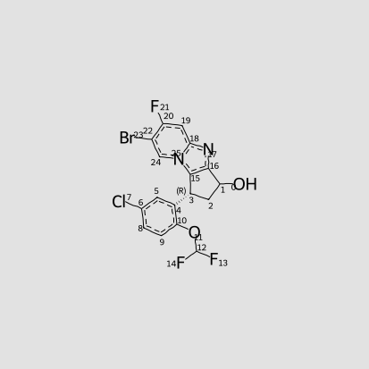 OC1C[C@H](c2cc(Cl)ccc2OC(F)F)c2c1nc1cc(F)c(Br)cn21